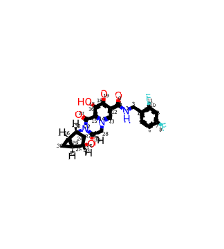 O=C(NCc1ccc(F)cc1F)c1cn2c(c(O)c1=O)C(=O)N1[C@@H]3C[C@H](O[C@@H]1C2)[C@H]1C[C@H]13